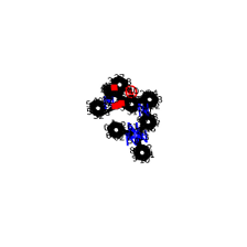 c1ccc(-c2nc(-c3ccccc3)nc(-c3cccc(-n4c5ccccc5c5c6c(ccc54)C4(c5ccccc5O6)c5ccccc5N(c5ccccc5)c5ccccc54)c3)n2)cc1